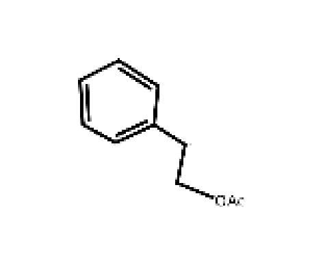 CC(=O)OC[CH]c1ccccc1